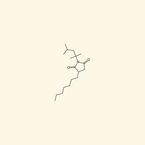 CCCCCCCC1CC(=O)N(C(C)(C)CC(C)C)C1=O